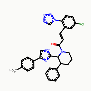 O=C(O)c1ccc(-c2c[nH]c(C3C(c4ccccc4)CCCN3C(=O)C=Cc3cc(Cl)ccc3-n3cnnn3)n2)cc1